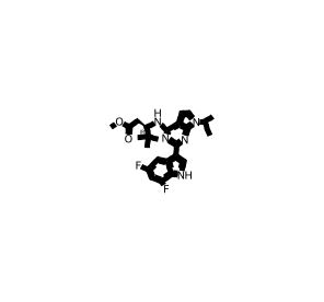 COC(=O)C[C@@H](Nc1nc(-c2c[nH]c3c(F)cc(F)cc23)nc2c1ccn2C(C)C)C(C)(C)C